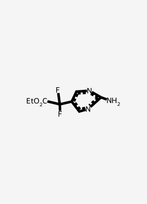 CCOC(=O)C(F)(F)c1cnc(N)nc1